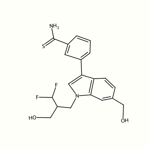 NC(=S)c1cccc(-c2cn(CC(CO)C(F)F)c3cc(CO)ccc23)c1